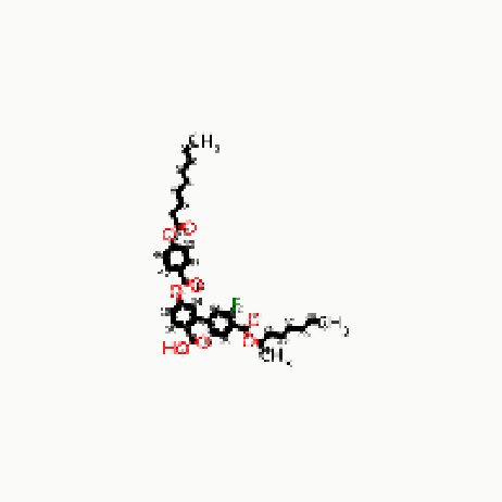 CCCCCCCCC(=O)Oc1ccc(C(=O)Oc2ccc(C(=O)O)c(-c3ccc(C(=O)OC(C)CCCCCC)c(F)c3)c2)cc1